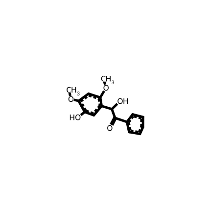 COc1cc(OC)c(C(O)C(=O)c2ccccc2)cc1O